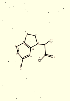 CCC(C(=O)Cl)C1COc2ccc(F)cc21